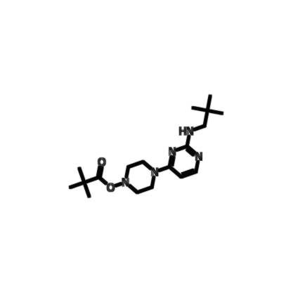 CC(C)(C)CNc1nccc(N2CCN(OC(=O)C(C)(C)C)CC2)n1